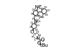 CC(C)(C)OC(=O)N1CCC(Oc2ccc(N(C/C=C/c3cccc(C#N)c3)Cc3ccccc3)cc2)CC1